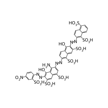 Nc1c(N=Nc2ccc3c(O)c(N=Nc4ccc5c(S(=O)(=O)O)cccc5c4S(=O)(=O)O)c(S(=O)(=O)O)cc3c2S(=O)(=O)O)cc(S(=O)(=O)O)c2cc(S(=O)(=O)O)c(N=Nc3ccc([N+](=O)[O-])cc3S(=O)(=O)O)c(O)c12